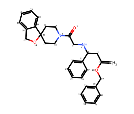 C=C(CC(NCC(=O)N1CCC2(CC1)OCc1ccccc12)c1ccccc1)OCc1ccccc1